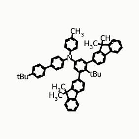 Cc1ccc(N(c2ccc(-c3ccc(C(C)(C)C)cc3)cc2)c2cc(-c3ccc4c(c3)C(C)(C)c3ccccc3-4)c(C(C)(C)C)c(-c3ccc4c(c3)C(C)(C)c3ccccc3-4)c2)cc1